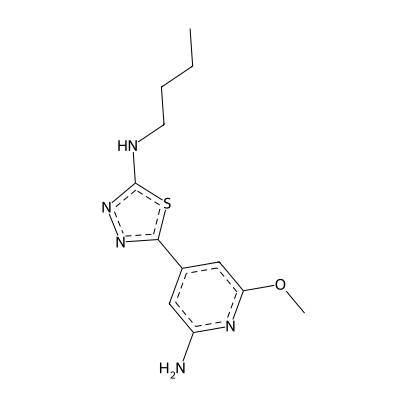 CCCCNc1nnc(-c2cc(N)nc(OC)c2)s1